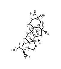 C=C(CO)[C@H]1CC[C@H]2[C@@H]3CC(F)(F)[C@@H]4C[C@](C)(O)CC[C@@H]4[C@H]3CC[C@]12C